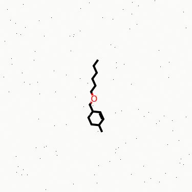 CCCCCCOCC1C=CC(C)CC1